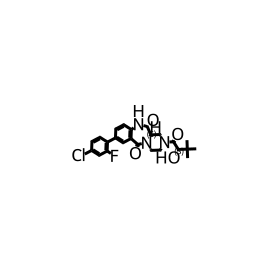 CC(C)(C)[C@H](O)C(=O)N1CCN2C(=O)c3cc(-c4ccc(Cl)cc4F)ccc3NC(=O)[C@@H]2C1